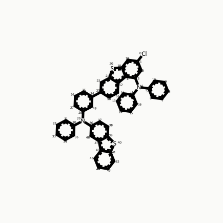 Clc1cc(N(c2ccccc2)c2ccccc2)c2c(c1)sc1cc(-c3cccc(N(c4ccccc4)c4ccc5sc6ccccc6c5c4)c3)ccc12